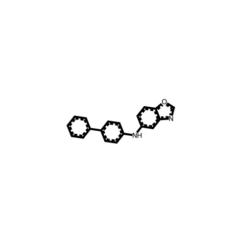 c1ccc(-c2ccc(Nc3ccc4ocnc4c3)cc2)cc1